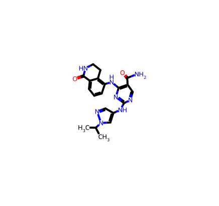 CC(C)n1cc(Nc2ncc(C(N)=O)c(Nc3cccc4c3CCNC4=O)n2)cn1